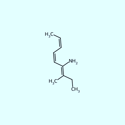 C\C=C/C=C\C(N)=C(/C)CC